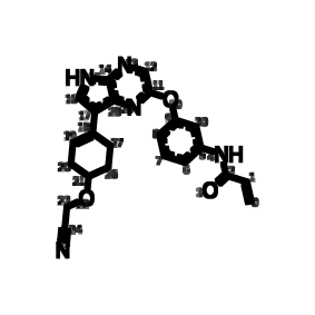 C=CC(=O)Nc1cccc(Oc2cnc3[nH]cc(C4=CCC(OCC#N)CC4)c3n2)c1